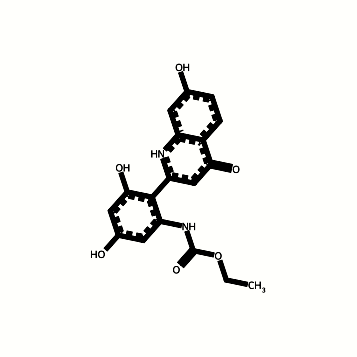 CCOC(=O)Nc1cc(O)cc(O)c1-c1cc(=O)c2ccc(O)cc2[nH]1